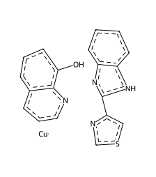 Oc1cccc2cccnc12.[Cu].c1ccc2[nH]c(-c3cscn3)nc2c1